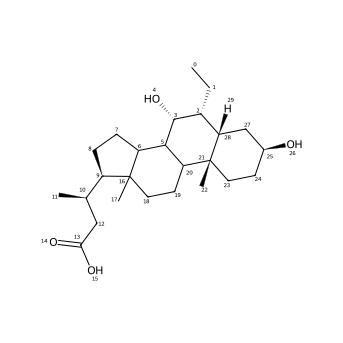 CC[C@H]1[C@@H](O)C2C3CC[C@H]([C@H](C)CC(=O)O)C3(C)CCC2[C@@]2(C)CC[C@H](O)C[C@@H]12